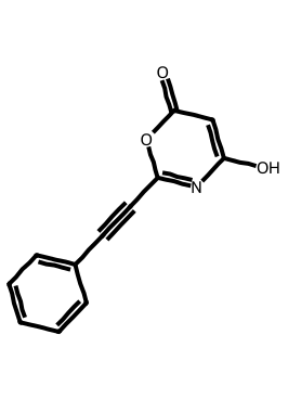 O=c1cc(O)nc(C#Cc2ccccc2)o1